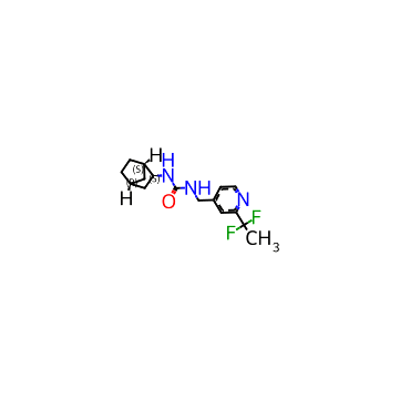 CC(F)(F)c1cc(CNC(=O)N[C@H]2C[C@@H]3CC[C@H]2C3)ccn1